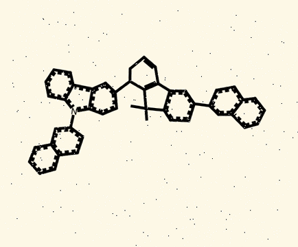 CC1(C)C2=C(C=CCC2c2ccc3c(c2)c2ccccc2n3-c2ccc3ccccc3c2)c2cc(-c3ccc4ccccc4c3)ccc21